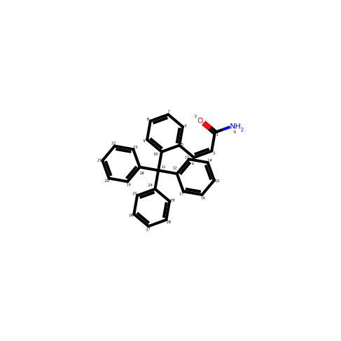 NC(=O)C=Cc1ccccc1C(c1ccccc1)(c1ccccc1)c1ccccc1